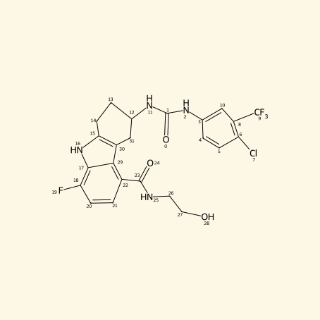 O=C(Nc1ccc(Cl)c(C(F)(F)F)c1)NC1CCc2[nH]c3c(F)ccc(C(=O)NCCO)c3c2C1